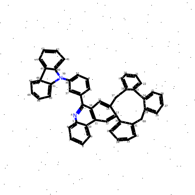 c1cc(-c2nc3ccccc3c3cc4c(cc23)Cc2ccccc2-c2ccccc2Cc2ccccc2-4)cc(-n2c3ccccc3c3ccccc32)c1